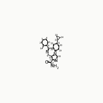 Cc1ccccc1C1=NCc2c(C(N)=O)ncn2-c2ccc(C3CC3)cc21